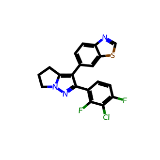 Fc1ccc(-c2nn3c(c2-c2ccc4ncsc4c2)CCC3)c(F)c1Cl